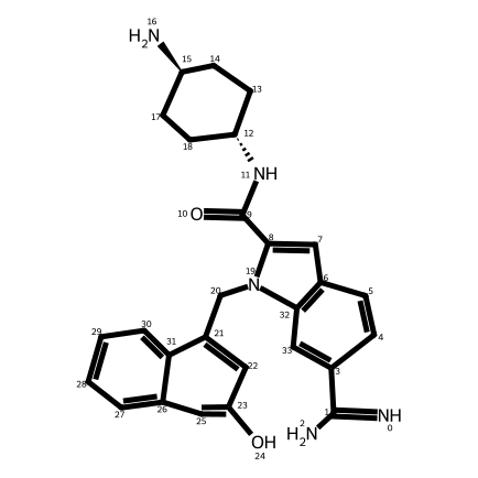 N=C(N)c1ccc2cc(C(=O)N[C@H]3CC[C@H](N)CC3)n(Cc3cc(O)cc4ccccc34)c2c1